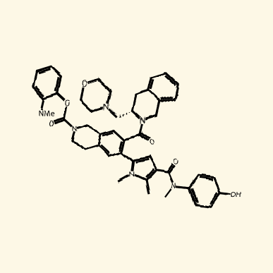 CNc1ccccc1OC(=O)N1CCc2cc(-c3cc(C(=O)N(C)c4ccc(O)cc4)c(C)n3C)c(C(=O)N3Cc4ccccc4C[C@H]3CN3CCOCC3)cc2C1